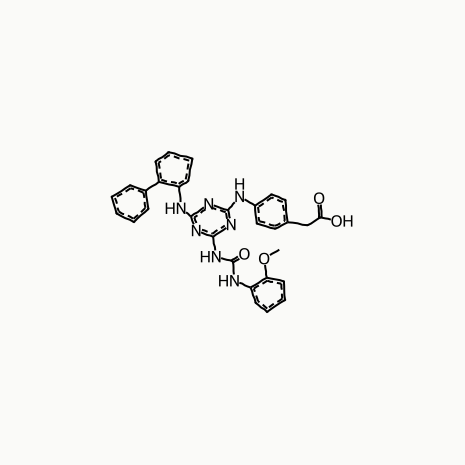 COc1ccccc1NC(=O)Nc1nc(Nc2ccc(CC(=O)O)cc2)nc(Nc2ccccc2-c2ccccc2)n1